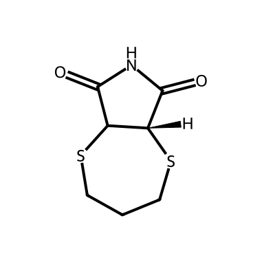 O=C1NC(=O)[C@@H]2SCCCSC12